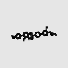 CCOCc1ccc(C2CCC(C(=O)Oc3ccc(-c4ccc(OC)cc4)c(F)c3F)CC2)cc1F